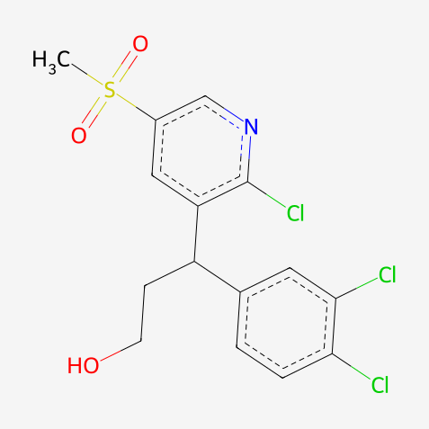 CS(=O)(=O)c1cnc(Cl)c(C(CCO)c2ccc(Cl)c(Cl)c2)c1